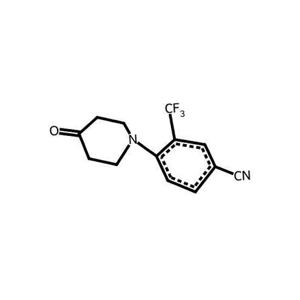 N#Cc1ccc(N2CCC(=O)CC2)c(C(F)(F)F)c1